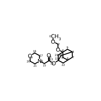 COCOC12CC3CC(C1)CC(OC(=O)CN1CCOCC1)(C3)C2